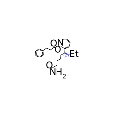 CC/C=C(/CCCCC(N)=O)C1=CC=CC=NC1OC(=O)CCc1ccccc1